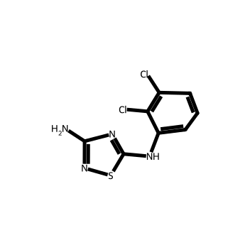 Nc1nsc(Nc2cccc(Cl)c2Cl)n1